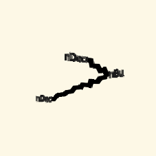 [CH2]CCCC(CCCCCCCCCCCCCCC)CCCCCCCCCCCCCCCCCCCCCCC